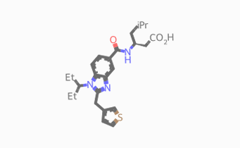 CCC(CC)n1c(Cc2ccsc2)nc2cc(C(=O)N[C@H](CC(=O)O)CC(C)C)ccc21